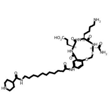 NCCCC[C@@H]1NC(=O)[C@H](CCC(=O)O)NC(=O)c2cc(NC(=O)CCCCCCCCCCNC(=O)C3CCNCC3)ccc2OCC[C@@H](C(N)=O)NC1=O